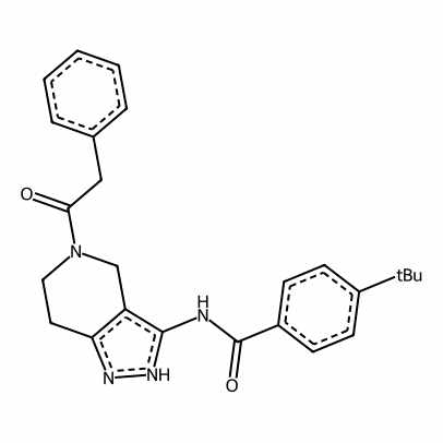 CC(C)(C)c1ccc(C(=O)Nc2[nH]nc3c2CN(C(=O)Cc2ccccc2)CC3)cc1